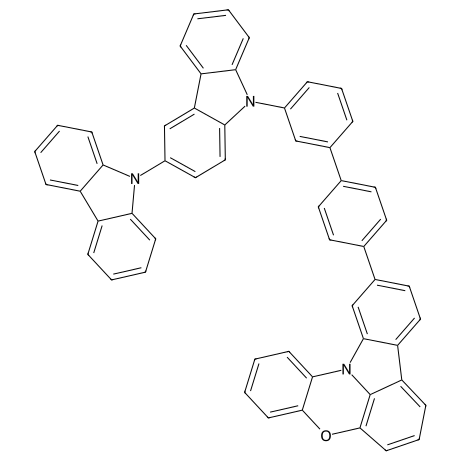 c1cc(-c2ccc(-c3ccc4c5cccc6c5n(c4c3)-c3ccccc3O6)cc2)cc(-n2c3ccccc3c3cc(-n4c5ccccc5c5ccccc54)ccc32)c1